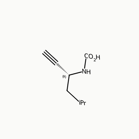 C#C[C@@H](CC(C)C)NC(=O)O